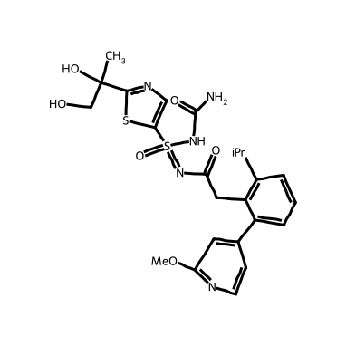 COc1cc(-c2cccc(C(C)C)c2CC(=O)N=S(=O)(NC(N)=O)c2cnc(C(C)(O)CO)s2)ccn1